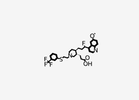 COc1ccc2nccc([C@H](F)CC[C@@H]3CCN(CCSc4cccc(C(F)(F)F)c4)C[C@H]3CCC(=O)O)c2c1